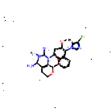 COc1cc(N2C3=C(CCOC3c3ccccc3)C(N)N(C)C2N)ccc1-n1cnc(Cl)c1